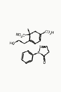 CC1(C(=O)O)CC(C(=O)O)=CC=C1CCO.O=C1CC=NN1c1ccccc1